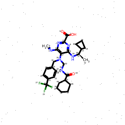 C=Nc1nc(C(=O)O)nc(N[C@H](C)C2CCC2)c1N(Cc1ccc(C(F)(F)F)cc1)CN(C)C(=O)C1CCCCC1